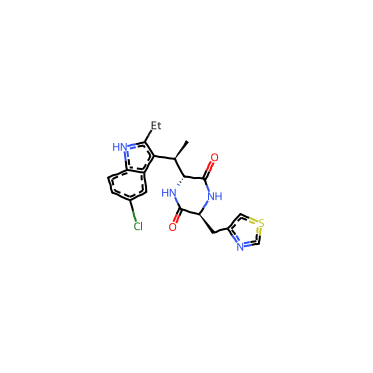 CCc1[nH]c2ccc(Cl)cc2c1[C@@H](C)[C@H]1NC(=O)[C@H](Cc2cscn2)NC1=O